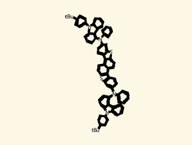 CC(C)(C)c1ccc(-n2c3ccccc3c3c(N(c4ccccc4)c4ccc5c(c4)sc4ccc6c(ccc7sc8cc(N(c9ccccc9)c9cccc%10c9c9ccccc9n%10-c9ccc(C(C)(C)C)cc9)ccc8c76)c45)cccc32)cc1